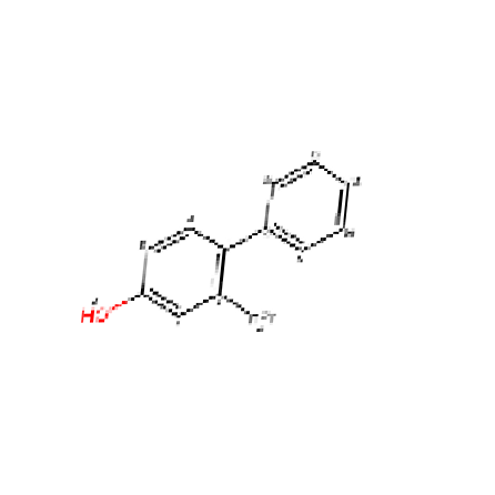 CCCc1cc(O)ccc1-c1ccccc1